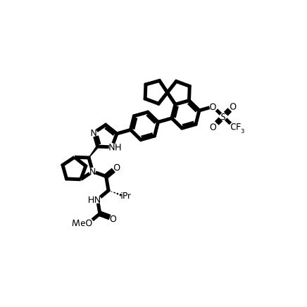 COC(=O)N[C@H](C(=O)N1C2CCC(C2)[C@H]1c1ncc(-c2ccc(-c3ccc(OS(=O)(=O)C(F)(F)F)c4c3C3(CCCC3)CC4)cc2)[nH]1)C(C)C